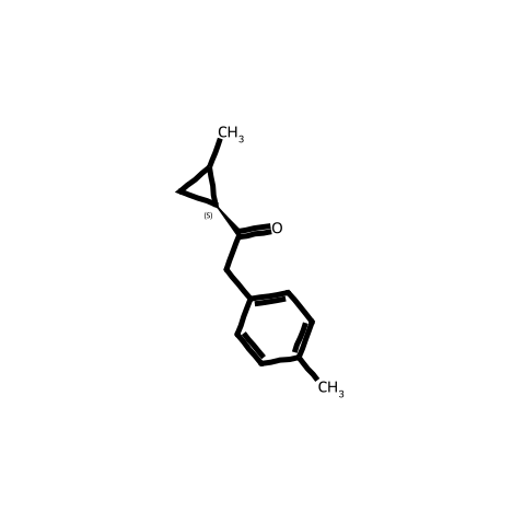 Cc1ccc(CC(=O)[C@H]2CC2C)cc1